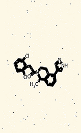 CC1c2cccc(-c3cn[nH]c3)c2CCN1C(=O)Cc1c(Cl)cccc1Cl